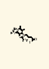 CCCC1=NC2=C3NN=NN3C(C)=C(C)C2N1CCCC(=O)Cl